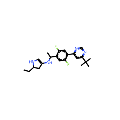 CCC1CC(NC(C)c2cc(F)c(-c3cc(C(C)(C)C)ncn3)cc2F)=CN1